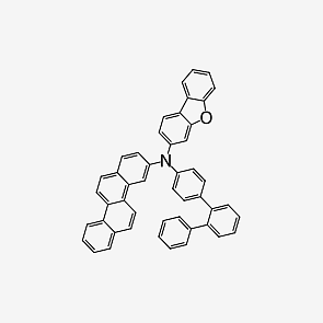 c1ccc(-c2ccccc2-c2ccc(N(c3ccc4c(c3)oc3ccccc34)c3ccc4ccc5c6ccccc6ccc5c4c3)cc2)cc1